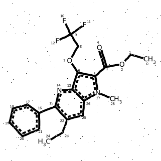 CCOC(=O)c1c(OCC(F)(F)F)c2nc(-c3ccccc3)c(CC)cc2n1C